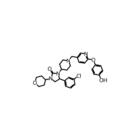 O=C1N(C2CCOCC2)CC(c2cccc(Cl)c2)N1C1CCN(Cc2ccc(Oc3ccc(O)cc3)nc2)CC1